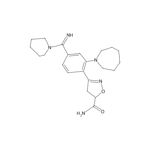 N=C(c1ccc(C2=NOC(C(N)=O)C2)c(N2CCCCCC2)c1)N1CCCCC1